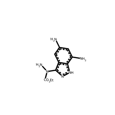 CCOC(=O)N(N)c1n[nH]c2c(N)cc(N)cc12